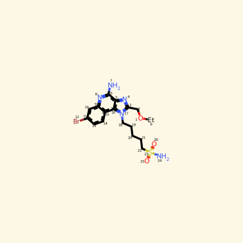 CCOCc1nc2c(N)nc3cc(Br)ccc3c2n1CCCCCS(N)(=O)=O